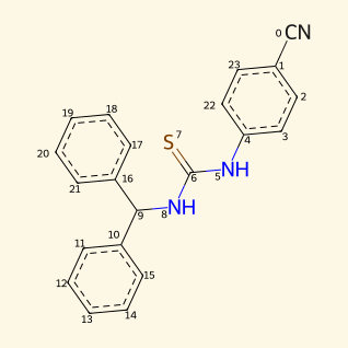 N#Cc1ccc(NC(=S)NC(c2ccccc2)c2ccccc2)cc1